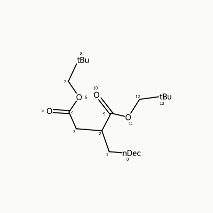 CCCCCCCCCCCC(CC(=O)OCC(C)(C)C)C(=O)OCC(C)(C)C